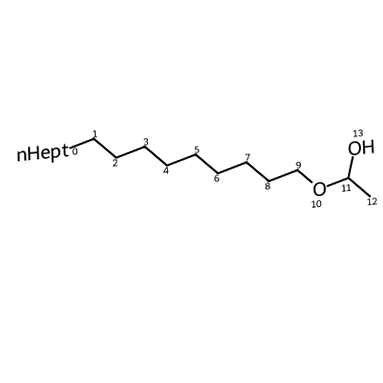 CCCCCCCCCCCCCCCCOC(C)O